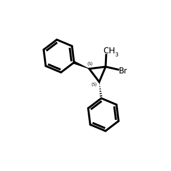 CC1(Br)[C@H](c2ccccc2)[C@H]1c1ccccc1